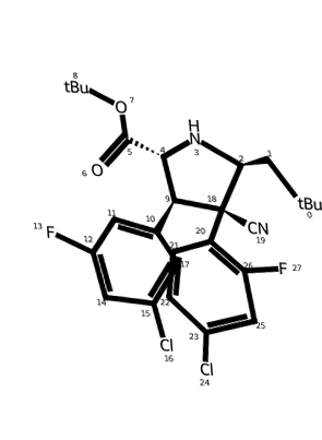 CC(C)(C)C[C@@H]1N[C@@H](C(=O)OC(C)(C)C)[C@H](c2cc(F)cc(Cl)c2)[C@@]1(C#N)c1ccc(Cl)cc1F